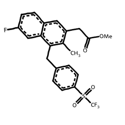 COC(=O)Cc1cc2ccc(F)cc2c(Cc2ccc(S(=O)(=O)C(F)(F)F)cc2)c1C